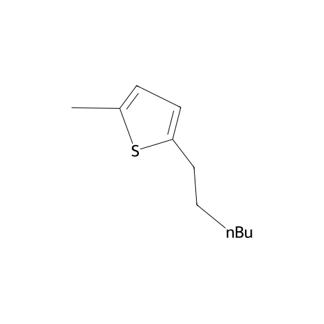 CCCCCCc1ccc(C)s1